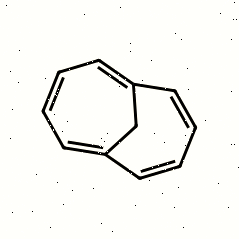 C1=CC=C2C=CC=CC(=C1)C2